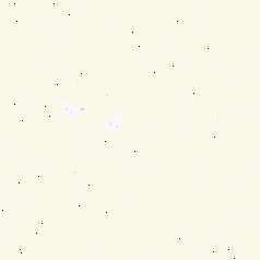 COc1ccc(F)cc1-c1nc(C2CCC(C(=O)O)CC2)cc2cccnc12